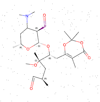 CO[C@@](C)(C[C@@H](C)C=O)[C@@H](CC1=C(C)C(=O)OC(C)(C)O1)O[C@@H]1O[C@H](C)CC(N(C)C)[C@H]1P=O